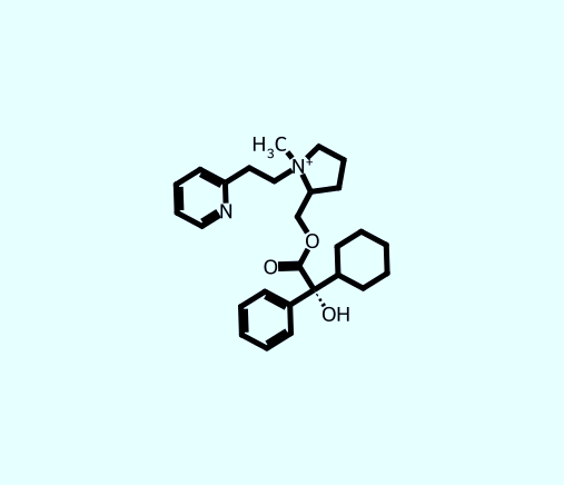 C[N+]1(CCc2ccccn2)CCCC1COC(=O)[C@](O)(c1ccccc1)C1CCCCC1